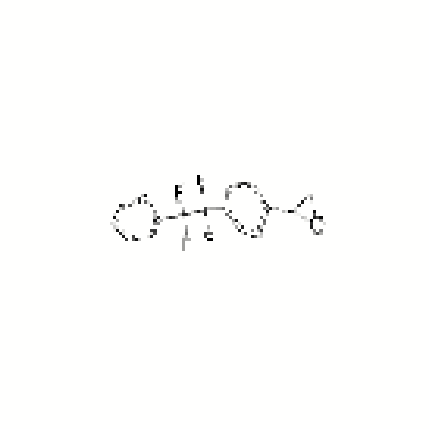 FC(F)(c1ccccc1)C(F)(F)c1ccc(C2CO2)cc1